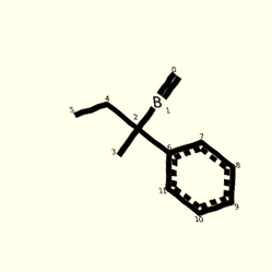 C=BC(C)(CC)c1ccccc1